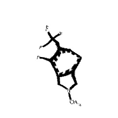 CN1Cc2ccc(C(F)(F)F)c(F)c2C1